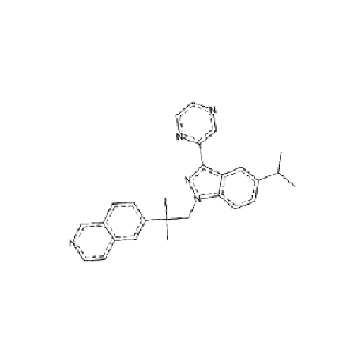 CC(C)c1ccc2c(c1)c(-c1cnccn1)nn2CC(C)(C)c1ccc2cnccc2c1